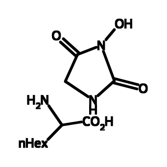 CCCCCCC(N)C(=O)O.O=C1CNC(=O)N1O